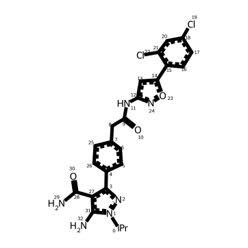 CC(C)n1nc(-c2ccc(CC(=O)Nc3cc(-c4ccc(Cl)cc4Cl)on3)cc2)c(C(N)=O)c1N